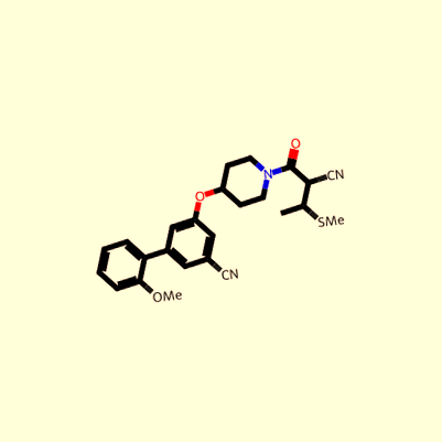 COc1ccccc1-c1cc(C#N)cc(OC2CCN(C(=O)C(C#N)C(C)SC)CC2)c1